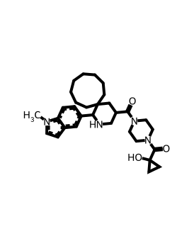 Cn1ccc2cc(C3NCC(C(=O)N4CCN(C(=O)C5(O)CC5)CC4)CC34CCCCCCCC4)ccc21